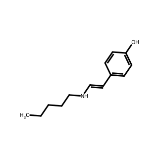 CCCCCNC=Cc1ccc(O)cc1